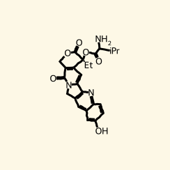 CC[C@@]1(OC(=O)C(N)C(C)C)C(=O)OCc2c1cc1n(c2=O)Cc2cc3cc(O)ccc3nc2-1